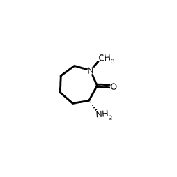 CN1CCCC[C@@H](N)C1=O